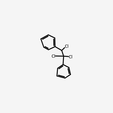 ClC(c1ccccc1)C(Cl)(Cl)c1ccccc1